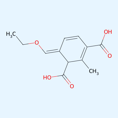 CCOC=C1C=CC(C(=O)O)=C(C)C1C(=O)O